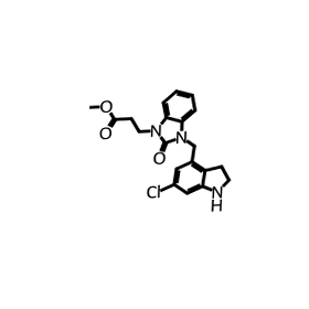 COC(=O)CCn1c(=O)n(Cc2cc(Cl)cc3c2CCN3)c2ccccc21